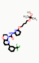 CC(C)(OS)OCCCCOc1cccc(NC(=O)N2CCOc3ccc(-c4cccc(C(F)(F)F)c4)nc32)n1